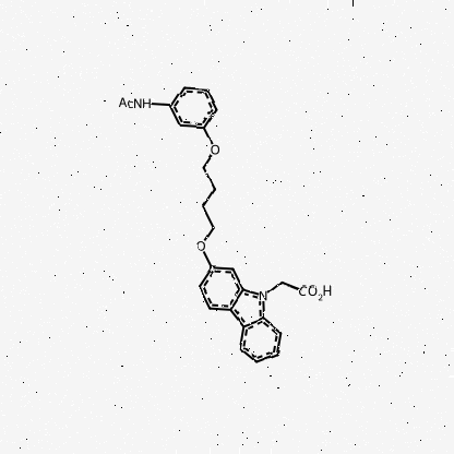 CC(=O)Nc1cccc(OCCCCOc2ccc3c4ccccc4n(CC(=O)O)c3c2)c1